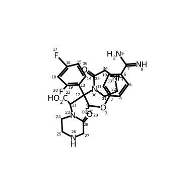 CCC(Oc1ccc(C(=N)N)cc1)C(c1ccc(F)cc1F)(C(C(=O)O)N1CCNCC1=O)N1CCNCC1=O